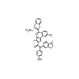 Cc1c(C(=O)N(c2ccc(O)cc2)c2cnc3c(c2)CCN3C)cc(-c2cc(Cl)ccc2C(=O)N2Cc3ccccc3C[C@H]2CN)n1C